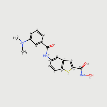 CN(C)c1cccc(C(=O)Nc2ccc3sc(C(=O)NO)cc3c2)c1